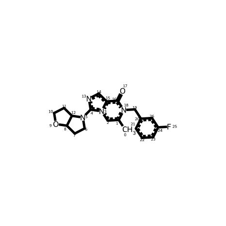 Cc1cn2c(N3CCC4OCCC43)ncc2c(=O)n1Cc1cccc(F)c1